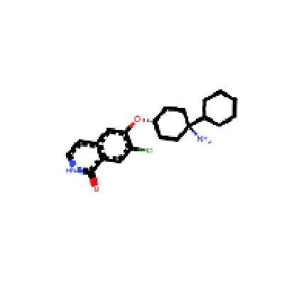 N[C@]1(C2CCCCC2)CC[C@@H](Oc2cc3cc[nH]c(=O)c3cc2Cl)CC1